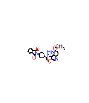 COc1ccc2ncc3c(c2n1)NC(C1CCC(N2C(=O)c4ccccc4C2=O)CC1)CO3